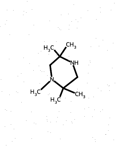 CN1CC(C)(C)NCC1(C)C